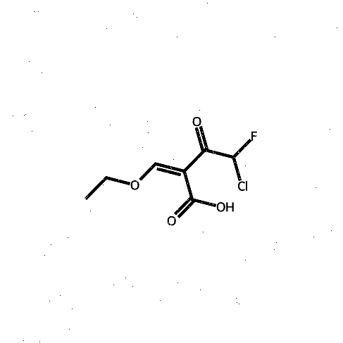 CCOC=C(C(=O)O)C(=O)C(F)Cl